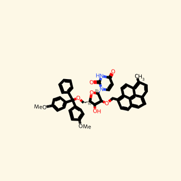 COc1ccc(C(OC[C@@H]2O[C@H](n3ccc(=O)[nH]c3=O)C(OCc3ccc4ccc5ccc(C)c6ccc3c4c56)C2O)(c2ccccc2)c2ccc(OC)cc2)cc1